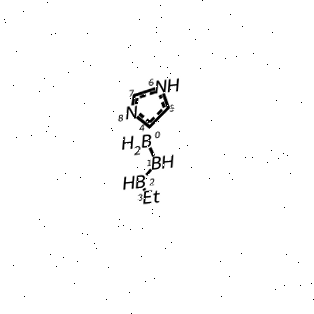 BBBCC.c1c[nH]cn1